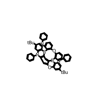 CC(C)(C)c1cc2c3c(c1)N(c1ccccc1)c1cccc4c1B3c1cc3c(cc1O2)N(c1ccccc1)c1cc(C(C)(C)C)cc2c1B3c1c(cccc1N2c1ccccc1)O4